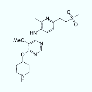 COc1c(Nc2ccc(CCS(C)(=O)=O)nc2C)ncnc1OC1CCNCC1